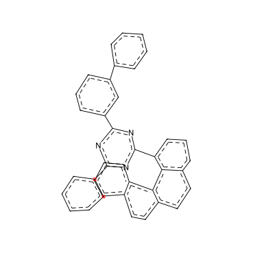 c1ccc(-c2cccc(-c3nc(-c4ccccc4)nc(-c4cccc5ccc6ccc7ccccc7c6c45)n3)c2)cc1